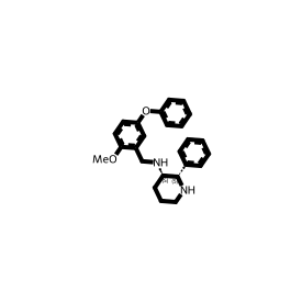 COc1ccc(Oc2ccccc2)cc1CN[C@H]1CCCN[C@H]1c1ccccc1